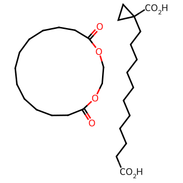 O=C(O)CCCCCCCCCCC1(C(=O)O)CC1.O=C1CCCCCCCCCCCC(=O)OCCO1